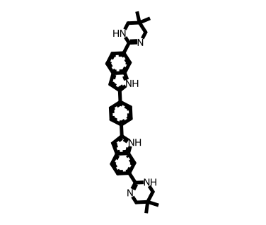 CC1(C)CN=C(c2ccc3cc(-c4ccc(-c5cc6ccc(C7=NCC(C)(C)CN7)cc6[nH]5)cc4)[nH]c3c2)NC1